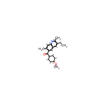 CCc1cc2cc(C(=O)C3CCC(OC)CC3)c(C)cc2nc1C